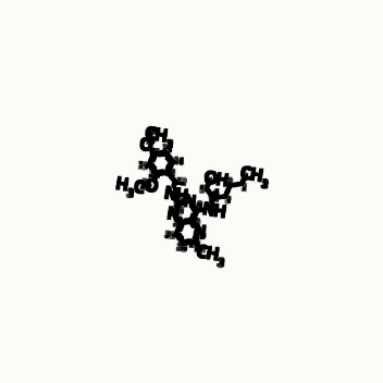 CCCC[C@H](CO)Nc1nc(NCc2ccc(OC)cc2OC)nc2ccc(C)nc12